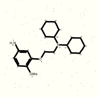 COc1ccc(N)cc1OCCN(C1CCCCC1)C1CCCCC1